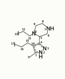 Cc1[nH]nc(C2CNCCN2CCI)c1CCI